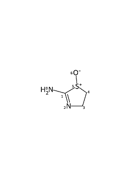 NC1=NCC[S+]1[O-]